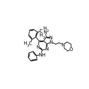 Cc1cccc(C)c1-c1nc(Nc2ccccc2)nc2c1c(N)nn2CCN1CCOCC1